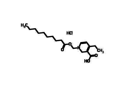 CCCCCCCCCC(=O)OCN1C=CC(CC)=C(C(=O)O)C1.Cl